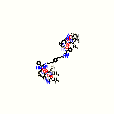 CC[C@@H](C(=O)N[C@@H]1C(=O)N2[C@@H](CC[C@@H]1CN=[N+]=[N-])CC[C@H]2C(=O)N[C@@H](c1ccccc1)c1cn(CCCCc2ccc(CCCCn3cc([C@@H](NC(=O)[C@@H]4CC[C@@H]5CC[C@H](CN=[N+]=[N-])[C@H](NC(=O)[C@H](CC)N(C)C(=O)OC(C)(C)C)C(=O)N54)c4ccccc4)nn3)cc2)nn1)N(C)C(=O)OC(C)(C)C